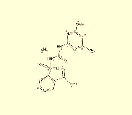 COC(=O)c1ccccc1S(=O)(=O)NC(=O)Nc1nc(C)nc(OC)n1.[AlH3]